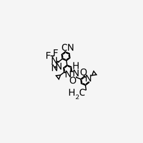 C=Cc1cc(C(=O)Nc2cc(-c3ccc(C#N)cc3-c3nncn3C(F)F)cc(C3CC3)n2)c(=O)n(C2CC2)c1